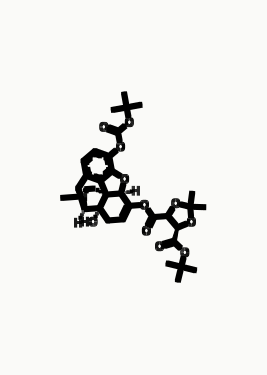 CN1CC[C@]23c4c5ccc(OC(=O)OC(C)(C)C)c4O[C@H]2C(OC(=O)C2OC(C)(C)O[C@H]2C(=O)OC(C)(C)C)=CC[C@@]3(O)[C@H]1C5